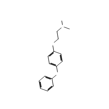 CN(CCOc1ccc(Oc2ccccc2)cc1)C(=O)O